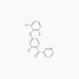 O=C(c1cccnc1)c1ccc(Oc2c(F)cccc2F)cc1F